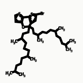 CC(C)CCCC(C)CCCC(C)CCC1(CCC(C)CCCC(C)CCCC(C)C)Oc2ccsc2-c2sc(Br)cc21